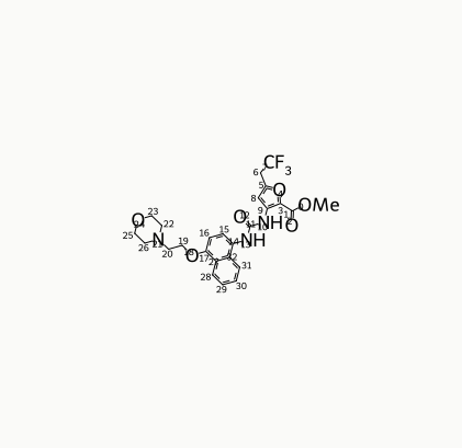 COC(=O)c1oc(CC(F)(F)F)cc1NC(=O)Nc1ccc(OCCN2CCOCC2)c2ccccc12